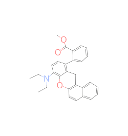 CCN(CC)c1ccc(-c2ccccc2C(=O)OC)c2c1Oc1ccc3ccccc3c1C2